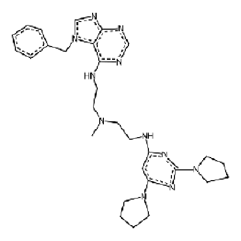 CN(CCNc1cc(N2CCCC2)nc(N2CCCC2)n1)CCNc1ncnc2ncn(Cc3ccccc3)c12